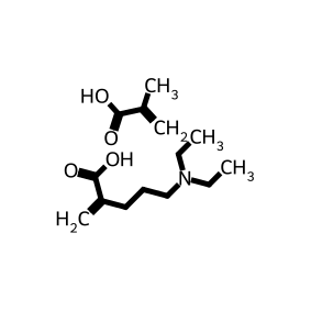 C=C(C)C(=O)O.C=C(CCCN(CC)CC)C(=O)O